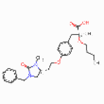 CCCCO[C@@](C)(Cc1ccc(OCC[C@@H]2CN(Cc3ccccc3)C(=O)N2C)cc1)C(=O)O